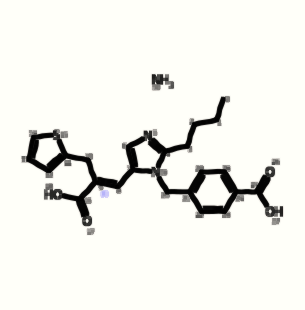 CCCCc1ncc(/C=C(\Cc2cccs2)C(=O)O)n1Cc1ccc(C(=O)O)cc1.N